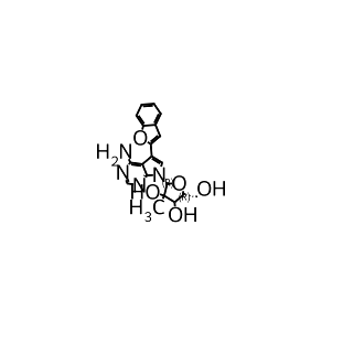 CC1(O)C(O)[C@@H](CO)O[C@H]1n1cc(-c2cc3ccccc3o2)c2c(N)ncnc21